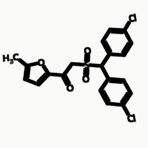 Cc1ccc(C(=O)CS(=O)(=O)C(c2ccc(Cl)cc2)c2ccc(Cl)cc2)o1